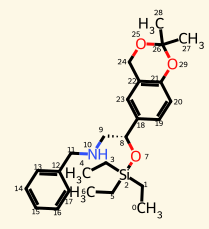 CC[Si](CC)(CC)O[C@H](CNCc1ccccc1)c1ccc2c(c1)COC(C)(C)O2